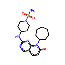 NS(=O)(=O)N1CCC(Nc2ncc3ccc(=O)n(C4CCCCCC4)c3n2)CC1